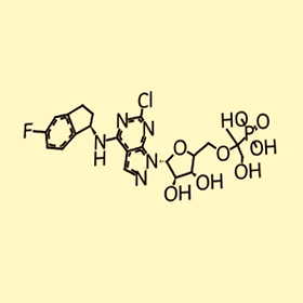 CC(CO)(OCC1O[C@@H](n2ncc3c(N[C@@H]4CCc5cc(F)ccc54)nc(Cl)nc32)[C@H](O)[C@@H]1O)P(=O)(O)O